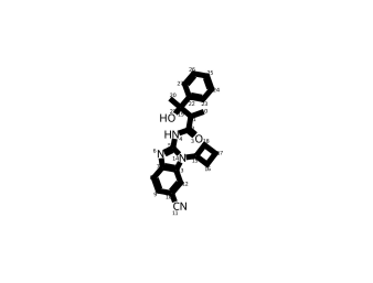 CC(C(=O)Nc1nc2ccc(C#N)cc2n1C1CCC1)C(C)(O)c1ccccc1